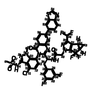 Cn1nc(NS(C)(=O)=O)c2c(Cl)ccc(-n3c([C@H](Cc4cc(F)cc(F)c4)NC(=O)Cn4nc(C(F)F)c5c4C(F)(F)[C@@H]4C[C@H]54)nc4nc(-c5ccc6ncsc6c5)ccc4c3=O)c21